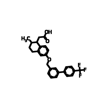 CC1CCc2cc(OCc3cccc(-c4ccc(C(F)(F)F)cc4)c3)ccc2C1CC(=O)O